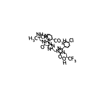 CC(C)(N)CNC(=O)c1nc(Cn2nc(-c3ccc(Cl)cc3)n(CC(O)C(F)(F)F)c2=O)nn1-c1cnccc1C(=O)O